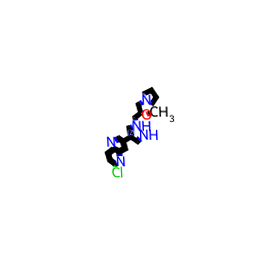 COC(CN/C=C(\C=N)c1cnc2ccc(Cl)nc2c1)CN1CCCC1